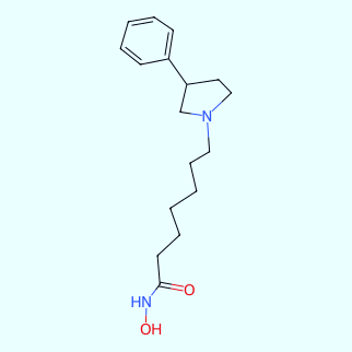 O=C(CCCCCCN1CCC(c2ccccc2)C1)NO